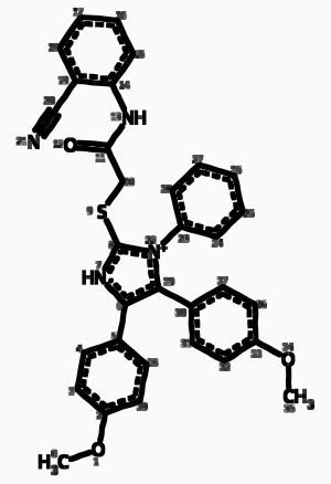 COc1ccc(-c2[nH]c(SCC(=O)Nc3ccccc3C#N)[n+](-c3ccccc3)c2-c2ccc(OC)cc2)cc1